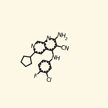 N#Cc1c(N)nc2cnc(C3CCCC3)cc2c1Nc1ccc(F)c(Cl)c1